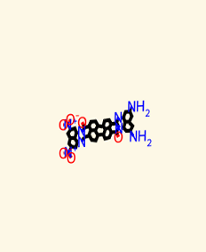 Nc1cc2cc(N)cc3c2c(c1)nc1c2ccc4c5ccc6c(=O)n7c8cc([N+](=O)[O-])cc9cc([N+](=O)[O-])cc(nc7c7ccc(c%10ccc(c(=O)n31)c2c4%10)c5c67)c98